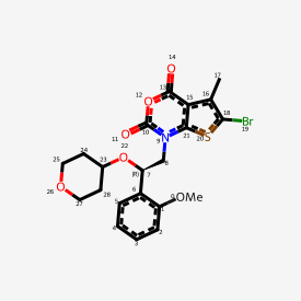 COc1ccccc1[C@H](Cn1c(=O)oc(=O)c2c(C)c(Br)sc21)OC1CCOCC1